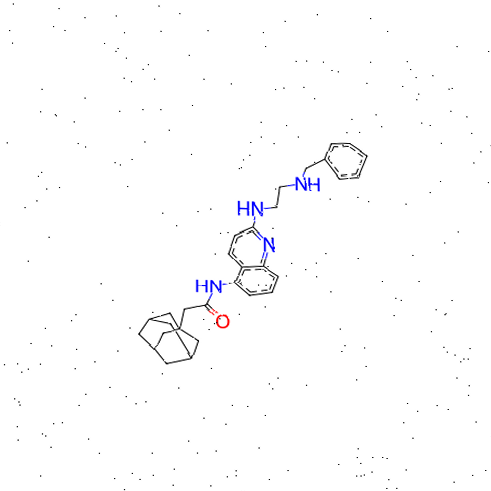 O=C(CC12CC3CC(CC(C3)C1)C2)Nc1cccc2nc(NCCNCc3ccccc3)ccc12